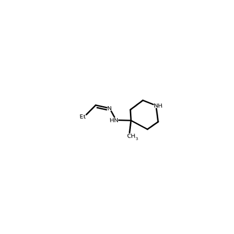 CC/C=N\NC1(C)CCNCC1